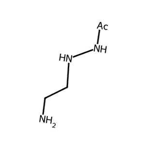 CC(=O)NNCCN